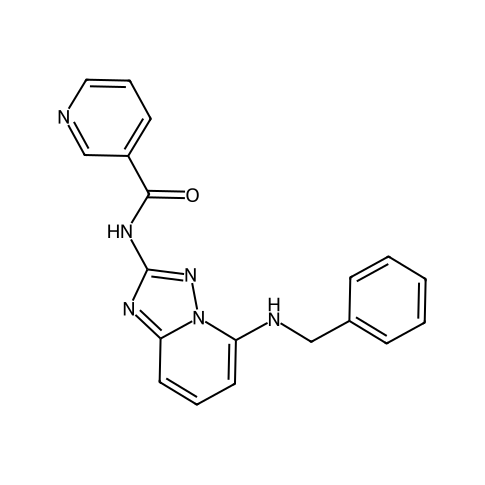 O=C(Nc1nc2cccc(NCc3ccccc3)n2n1)c1cccnc1